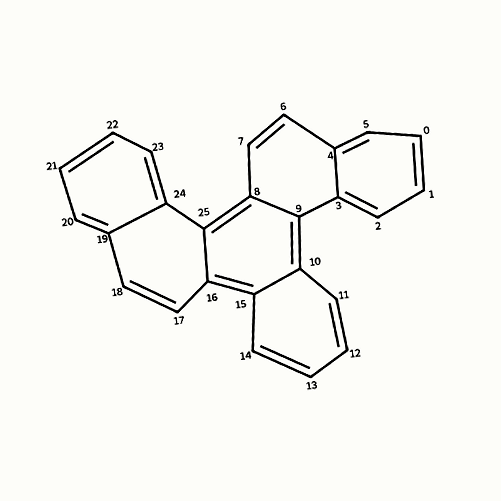 c1ccc2c(c1)ccc1c2c2ccccc2c2ccc3ccccc3c21